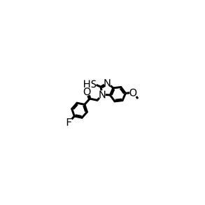 COc1ccc2c(c1)nc(S)n2CC(=O)c1ccc(F)cc1